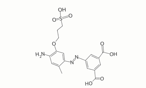 Cc1cc(N)c(OCCCS(=O)(=O)O)cc1N=Nc1cc(C(=O)O)cc(C(=O)O)c1